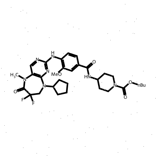 CCCCOC(=O)N1CCC(NC(=O)c2ccc(Nc3ncc4c(n3)N(C3CCCC3)CC(F)(F)C(=O)N4C)c(OC)c2)CC1